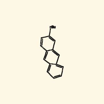 CCCCc1ccc2cc3ccccc3cc2c1